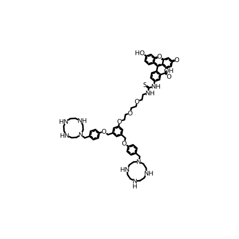 O=C(O)c1cc(NC(=S)NCCOCCOCCOc2cc(COc3ccc(CN4CCNCCNCCNCC4)cc3)cc(COc3ccc(CN4CCNCCNCCNCC4)cc3)c2)ccc1-c1c2ccc(=O)cc-2oc2cc(O)ccc12